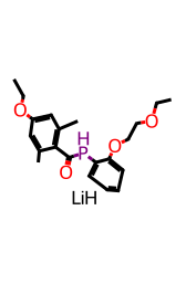 CCOCCOc1ccccc1PC(=O)c1c(C)cc(OCC)cc1C.[LiH]